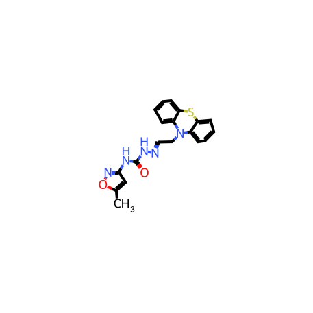 Cc1cc(NC(=O)NN=CCN2c3ccccc3Sc3ccccc32)no1